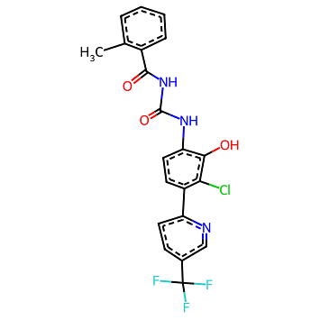 Cc1ccccc1C(=O)NC(=O)Nc1ccc(-c2ccc(C(F)(F)F)cn2)c(Cl)c1O